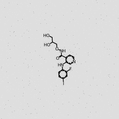 O=C(NOCC(O)CO)c1ccncc1Nc1ccc(I)cc1F